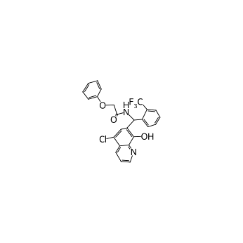 O=C(COc1ccccc1)NC(c1ccccc1C(F)(F)F)c1cc(Cl)c2cccnc2c1O